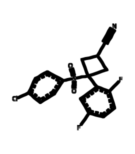 N#CC1CC(c2cc(F)ccc2F)(S(=O)(=O)c2ccc(Cl)cc2)C1